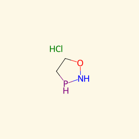 C1CPNO1.Cl